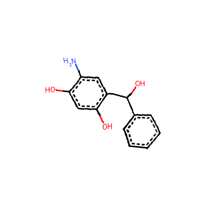 Nc1cc(C(O)c2ccccc2)c(O)cc1O